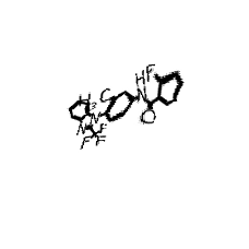 Cc1cc(NC(=O)c2ccccc2F)ccc1-n1c(C(F)(F)F)nc2ccccc21